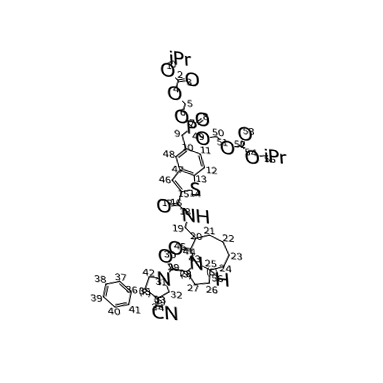 CC(C)OC(=O)OCOP(=O)(Cc1ccc2sc(C(=O)NCC3CCCC[C@H]4CC[C@@H](C(=O)N5C[C@@H](C#N)[C@H](c6ccccc6)C5)N4C3=O)cc2c1)OCOC(=O)OC(C)C